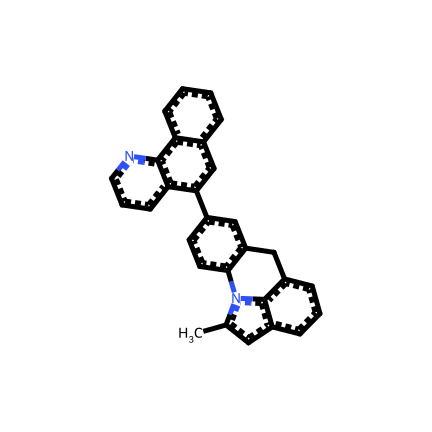 Cc1cc2cccc3c2n1-c1ccc(-c2cc4ccccc4c4ncccc24)cc1C3